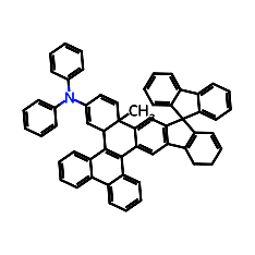 CC12C=CC(N(c3ccccc3)c3ccccc3)=CC1c1c(c3ccccc3c3ccccc13)-c1cc3c(cc12)C1(C2=C3CCC=C2)c2ccccc2-c2ccccc21